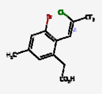 Cc1cc(Br)c(/C=C(\Cl)C(F)(F)F)c(CC(=O)O)c1